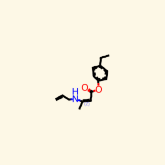 C=CCN/C(C)=C\C(=O)Oc1ccc(CC)cc1